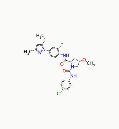 CCc1cc(C)nn1-c1ccc(NC(=O)[C@H]2C[C@@H](OC)CN2C(=O)Nc2ccc(Cl)cc2)c(F)c1